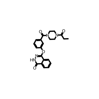 CCC(=O)N1CCN(C(=O)c2cccc(Oc3n[nH]c(=O)c4ccccc34)c2)CC1